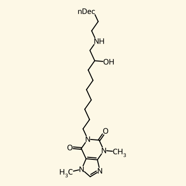 CCCCCCCCCCCCNCC(O)CCCCCCCn1c(=O)c2c(ncn2C)n(C)c1=O